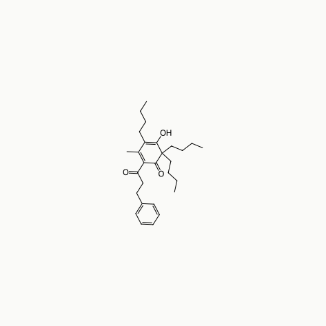 CCCCC1=C(O)C(CCCC)(CCCC)C(=O)C(C(=O)CCc2ccccc2)=C1C